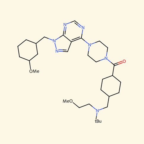 COCCN(CC1CCC(C(=O)N2CCN(c3ncnc4c3cnn4CC3CCCC(OC)C3)CC2)CC1)C(C)(C)C